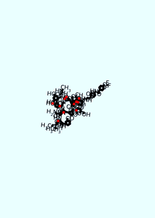 CCNNC(=O)[C@@H]1NC(=O)[C@H]2NC(=O)[C@H](NC(=O)[C@@H]3NC(=O)[C@H](CC(N)=O)NC(=O)C(NC(=O)[C@@H](CC(C)C)NC)[C@H](O)c4ccc(c(Cl)c4)Oc4cc3cc(c4O[C@@H]3O[C@H](CO)[C@@H](O[C@@H]4O[C@H](CNCCn5ccc(NC(=O)c6ccc(OC(F)(F)F)cc6)nc5=O)[C@H](O)[C@H](O)[C@H]4O)[C@H](O)[C@H]3O)Oc3ccc(cc3Cl)[C@H]2OC2C[C@](C)(N)[C@@H](O)[C@H](C)O2)c2ccc(O)c(c2)-c2c(O)cc(O)cc21